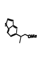 [CH2]OCC(C)c1ccc2sccc2c1